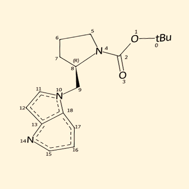 CC(C)(C)OC(=O)N1CCC[C@@H]1Cn1ccc2ncccc21